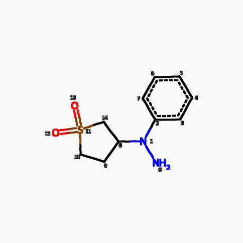 NN(c1ccccc1)C1CCS(=O)(=O)C1